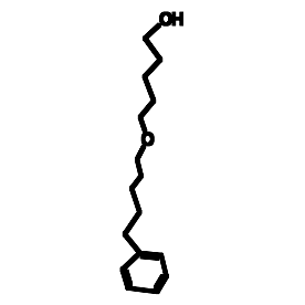 OCCCCCOCCCCCc1ccccc1